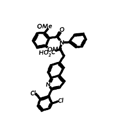 COc1cccc(OC)c1C(=O)N(c1ccccc1)C(Cc1ccc2nc(-c3c(Cl)cccc3Cl)ccc2c1)C(=O)O